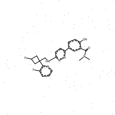 CN(C)C(=O)c1cc(-c2ccc(NCC3(c4ncccc4F)CC(F)C3)nn2)ccc1O